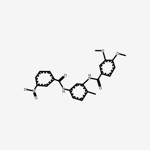 COc1ccc(C(=O)Nc2cc(NC(=O)c3cccc([N+](=O)[O-])c3)ccc2C)cc1OC